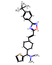 CN(C)C(c1cccs1)C1CCC(C=Cc2nc(-c3ccc(C(C)(C)C)cc3)no2)CC1